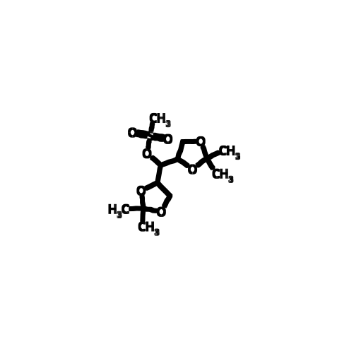 CC1(C)OCC(C(OS(C)(=O)=O)C2COC(C)(C)O2)O1